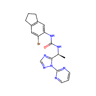 C[C@H](NC(=O)Nc1cc2c(cc1Br)CCC2)c1ncnn1-c1ncccn1